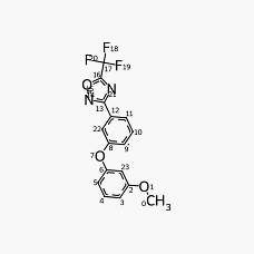 COc1cccc(Oc2[c]ccc(-c3noc(C(F)(F)F)n3)c2)c1